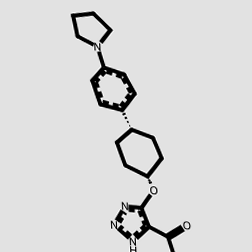 O=C(O)c1[nH]nnc1O[C@H]1CC[C@@H](c2ccc(N3CCCC3)cc2)CC1